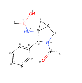 CB(O)NC12CC1CN(C(C)=O)C2c1ccccc1